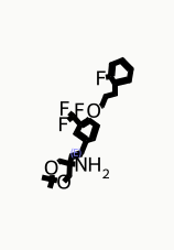 CC1(C)OCC(N)(/C=C/c2ccc(OCCCc3ccccc3F)c(C(F)(F)F)c2)CO1